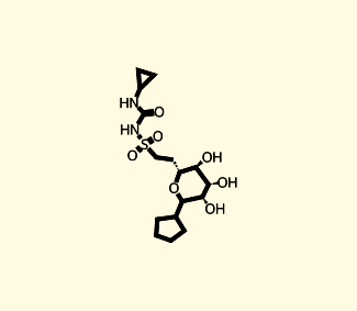 O=C(NC1CC1)NS(=O)(=O)CC[C@H]1OC(C2CCCC2)[C@@H](O)[C@@H](O)[C@@H]1O